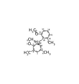 COc1ccc(C)cc1C.COc1cccc(C)c1C